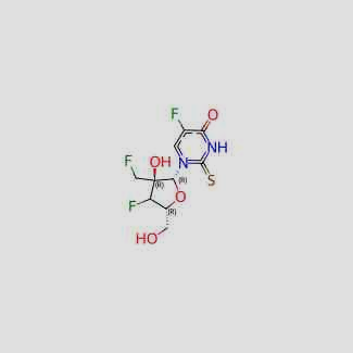 O=c1[nH]c(=S)n([C@@H]2O[C@H](CO)C(F)[C@]2(O)CF)cc1F